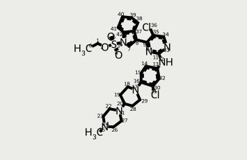 CCOS(=O)(=O)n1cc(-c2nc(Nc3ccc(N4CCC(N5CCN(C)CC5)CC4)c(Cl)c3)ncc2Cl)c2ccccc21